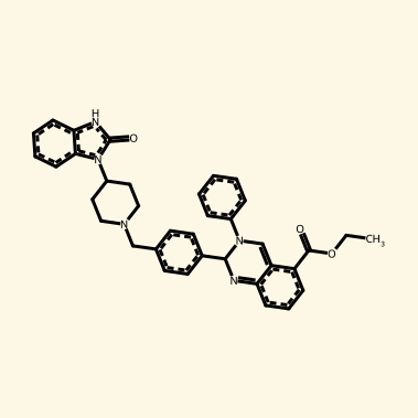 CCOC(=O)c1cccc2c1=CN(c1ccccc1)C(c1ccc(CN3CCC(n4c(=O)[nH]c5ccccc54)CC3)cc1)N=2